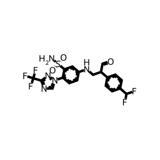 NS(=O)(=O)c1cc(NCC(C=O)c2ccc(C(F)F)cc2)ccc1-n1cnc(C(F)(F)F)n1